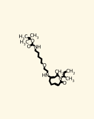 C=CC(C)N1C(=C)/C=C(\NCCOCCCCCNC(=O)OC(C)(C)C)CC/C=C/C1=O